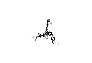 Cc1cc(C(=O)/N=c2\[nH]c3cc(CN4CCN(C)CC4)ccc3n2CCCCCNC=O)cs1